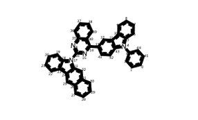 c1ccc(-n2c3ccccc3c3cc(-c4nc(-n5c6ccccc6c6cc7ccccc7cc65)nc5ccccc45)ccc32)cc1